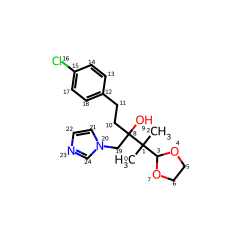 CC(C)(C1OCCO1)C(O)(CCc1ccc(Cl)cc1)Cn1ccnc1